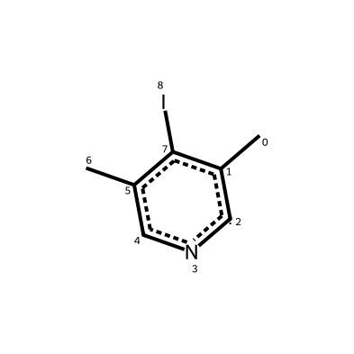 Cc1[c]ncc(C)c1I